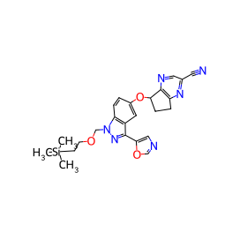 C[Si](C)(C)CCOCn1nc(-c2cnco2)c2cc(OC3CCc4nc(C#N)cnc43)ccc21